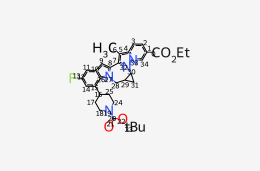 CCOC(=O)c1ccc2c(C)c(-c3cc4cc(F)cc(C5CCN(C(=O)OC(C)(C)C)CC5)c4n3CC3CC3)nn2c1